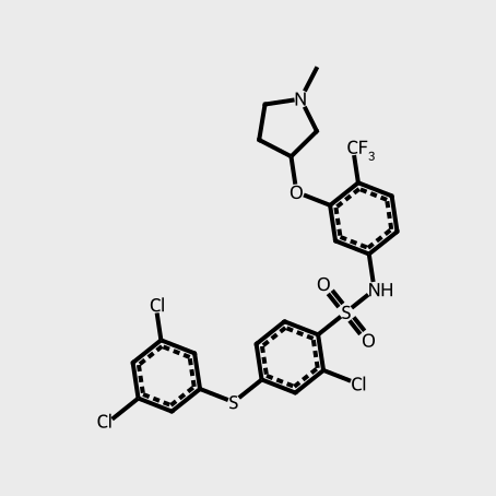 CN1CCC(Oc2cc(NS(=O)(=O)c3ccc(Sc4cc(Cl)cc(Cl)c4)cc3Cl)ccc2C(F)(F)F)C1